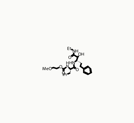 CCNC(=O)C(O)[C@H](CCc1ccccc1)NC(=O)[C@H](CC(C)C)NC(=O)OCCOC